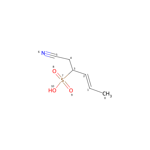 CC=CC(CC#N)S(=O)(=O)O